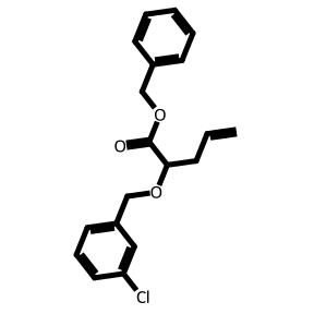 C=CCC(OCc1cccc(Cl)c1)C(=O)OCc1ccccc1